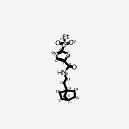 CCS(=O)(=O)c1ncc(C(=O)NCCC23CCC(CC2)C3)s1